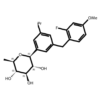 COc1ccc(Cc2cc(C(C)C)cc([C@@H]3O[C@H](C)[C@@H](O)[C@H](O)[C@H]3O)c2)c(F)c1